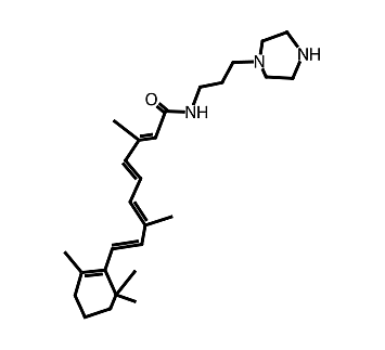 CC(C=CC1=C(C)CCCC1(C)C)=CC=CC(C)=CC(=O)NCCCN1CCNCC1